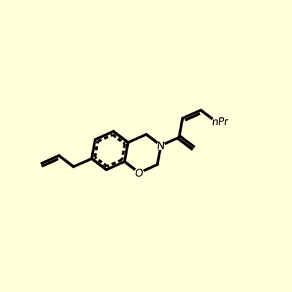 C=CCc1ccc2c(c1)OCN(C(=C)/C=C\CCC)C2